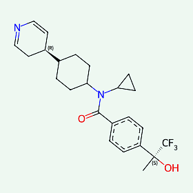 C[C@](O)(c1ccc(C(=O)N(C2CCC([C@@H]3C=CN=CC3)CC2)C2CC2)cc1)C(F)(F)F